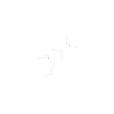 CC(C)=C1CC(N(C)C)CN1C